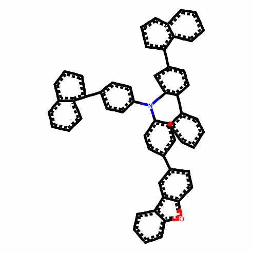 c1ccc(-c2ccc(-c3cccc4ccccc34)cc2N(c2ccc(-c3ccc4oc5ccccc5c4c3)cc2)c2ccc(-c3cccc4ccccc34)cc2)cc1